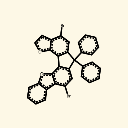 Brc1cc2c(c3occc13)-c1c(cc(Br)c3c1oc1ccccc13)C2(c1ccccc1)c1ccccc1